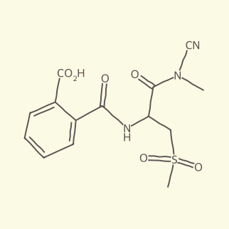 CN(C#N)C(=O)C(CS(C)(=O)=O)NC(=O)c1ccccc1C(=O)O